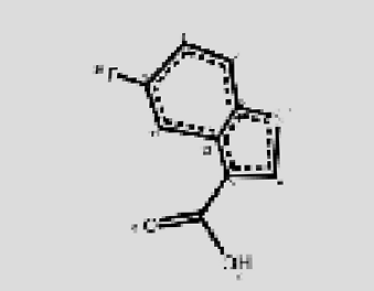 O=C(O)c1csc2ccc(F)cc12